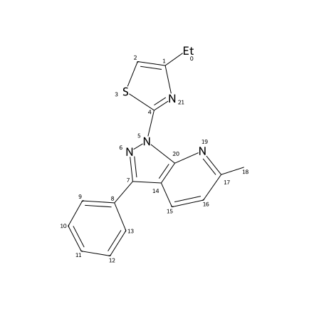 CCc1csc(-n2nc(-c3ccccc3)c3ccc(C)nc32)n1